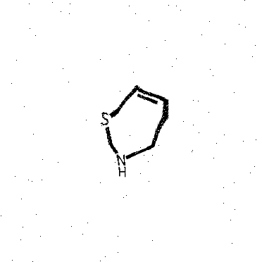 C1=CSNC1